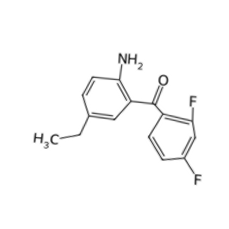 CCc1ccc(N)c(C(=O)c2ccc(F)cc2F)c1